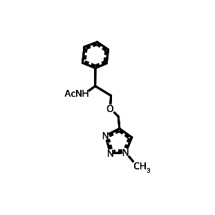 CC(=O)NC(COCc1cn(C)nn1)c1ccccc1